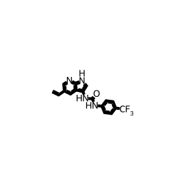 C=Cc1cnc2[nH]cc(NC(=O)Nc3ccc(C(F)(F)F)cc3)c2c1